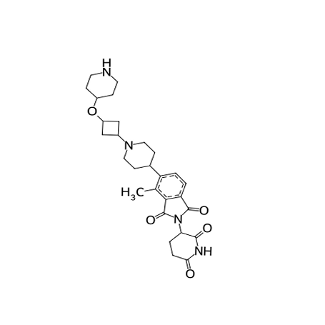 Cc1c(C2CCN(C3CC(OC4CCNCC4)C3)CC2)ccc2c1C(=O)N(C1CCC(=O)NC1=O)C2=O